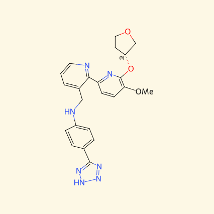 COc1ccc(-c2ncccc2CNc2ccc(-c3nn[nH]n3)cc2)nc1O[C@@H]1CCOC1